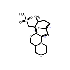 CC1C/C=C(Cl)/N=C2\C(=C/1CS(C)(=O)=O)OCC1COCCN21